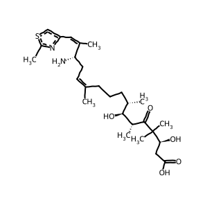 CC(=CC[C@H](N)C(C)=Cc1csc(C)n1)CCC[C@H](C)[C@H](O)[C@@H](C)C(=O)C(C)(C)[C@@H](O)CC(=O)O